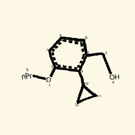 CCCOc1cccc(CO)c1C1CC1